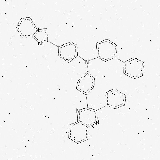 c1ccc(-c2cccc(N(c3ccc(-c4cn5ccccc5n4)cc3)c3ccc(-c4nc5ccccc5nc4-c4ccccc4)cc3)c2)cc1